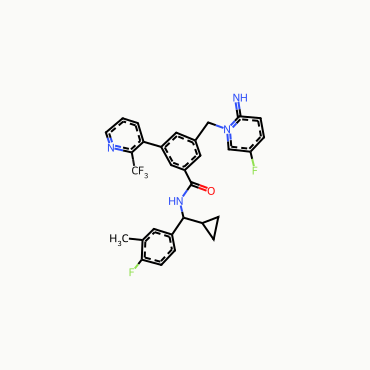 Cc1cc(C(NC(=O)c2cc(Cn3cc(F)ccc3=N)cc(-c3cccnc3C(F)(F)F)c2)C2CC2)ccc1F